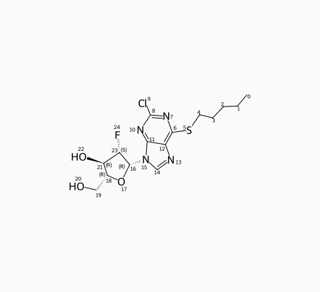 CCCCCSc1nc(Cl)nc2c1ncn2[C@@H]1O[C@H](CO)[C@@H](O)[C@@H]1F